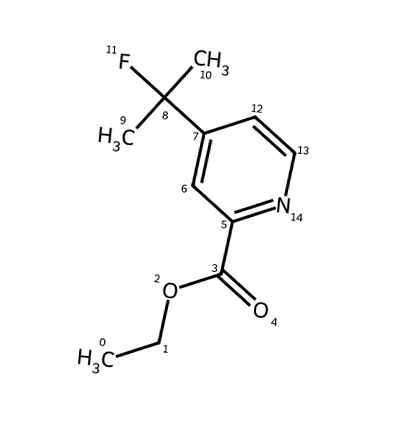 CCOC(=O)c1cc(C(C)(C)F)ccn1